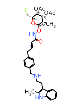 CC(=O)O[C@@H]1[C@@H](C)[C@H](ONC(=O)/C=C/Cc2ccc(CNCCc3c(C)[nH]c4ccccc34)cc2)O[C@H](CF)[C@@H]1OC(C)=O